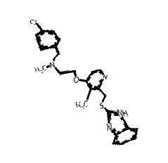 Cc1c(OCCN(C)Cc2ccc(Cl)cc2)ccnc1CSc1nc2ccccc2[nH]1